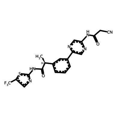 C[C@H](C(=O)Nc1ncc(C(F)(F)F)s1)c1cccc(-c2cnc(NC(=O)CC#N)cn2)c1